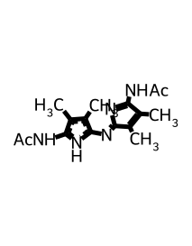 CC(=O)NC1=N/C(=N\c2[nH]c(NC(C)=O)c(C)c2C)C(C)=C1C